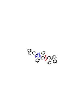 c1ccc(-c2nc(-c3ccc4c(ccc5ccccc54)c3)nc(-c3ccccc3-c3ccc4c(c3)Oc3c(ccc5c3-c3ccccc3C5(c3ccccc3)c3ccccc3)O4)n2)cc1